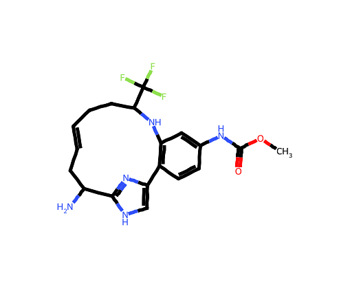 COC(=O)Nc1ccc2c(c1)NC(C(F)(F)F)CC/C=C/CC(N)c1nc-2c[nH]1